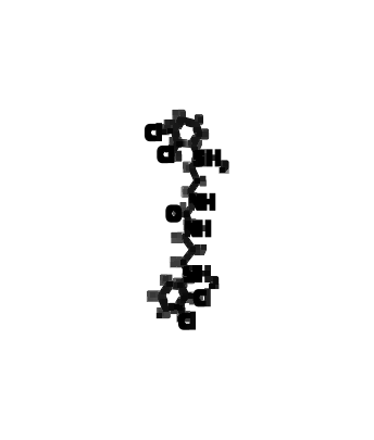 O=C(NCCC[SiH2]c1cccc(Cl)c1Cl)NCCC[SiH2]c1cccc(Cl)c1Cl